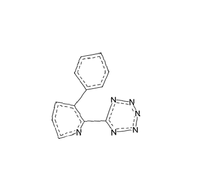 c1ccc(-c2cccnc2-c2nnnnn2)cc1